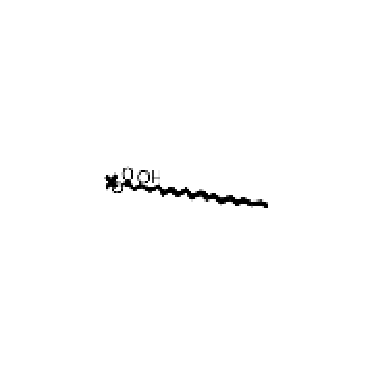 CCCCCCCC/C=C/CCCCCCCC(O)CC(=O)OC(C)(C)C